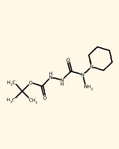 CC(C)(C)OC(=O)NNC(=O)N(N)N1CCCCC1